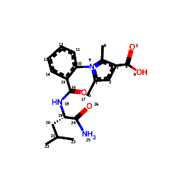 Cc1cc(C(=O)O)c(C)n1-c1ccccc1C(=O)N[C@@H](CC(C)C)C(N)=O